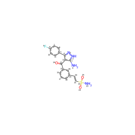 Nc1[nH]nc(-c2ccc(F)cc2)c1C(=O)c1cccc(C=CS(N)(=O)=O)c1